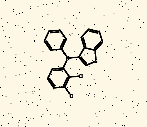 Clc1cccc(N(c2ccccc2)c2csc3ccccc23)c1Cl